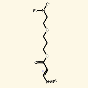 CCCCCCC/C=C/C(=O)OCCCOCCN(CC)CC